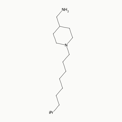 CC(C)CCCCCCCN1CCC(CN)CC1